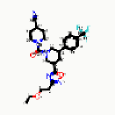 CCOCCc1noc(C2CC(c3ccc(C(F)(F)F)cc3)CN(C(=O)N3CCC(C#N)CC3)C2)n1